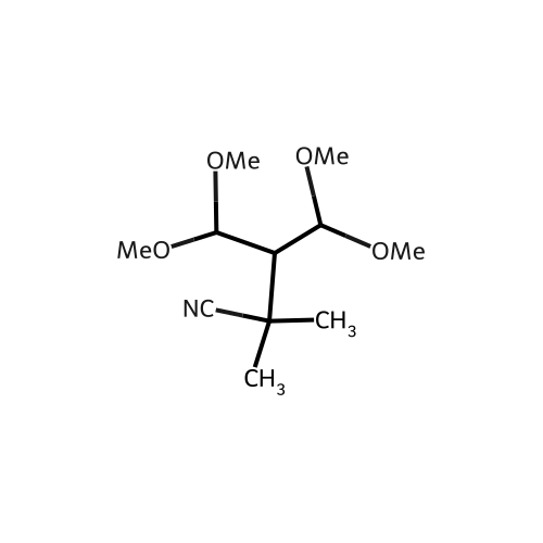 COC(OC)C(C(OC)OC)C(C)(C)C#N